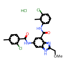 COCc1nc2c(C(=O)Nc3cccc(Cl)c3C)cc(NC(=O)c3ccc(C)cc3Cl)cc2[nH]1.Cl